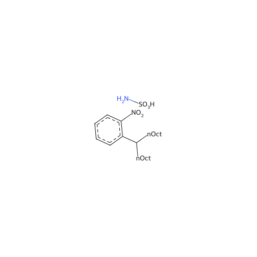 CCCCCCCCC(CCCCCCCC)c1ccccc1[N+](=O)[O-].NS(=O)(=O)O